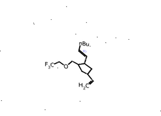 C=CC1CC(/C=C/CCCC)C(COCC(F)(F)F)C1